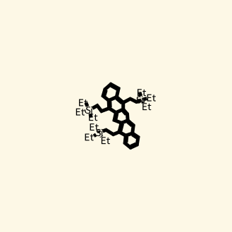 CC[Si](CC)(CC)CCc1c2ccccc2cc2cc3c(CC[Si](CC)(CC)CC)c4ccccc4c(CC[Si](CC)(CC)CC)c3cc12